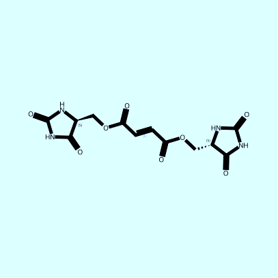 O=C1NC(=O)[C@H](COC(=O)/C=C/C(=O)OC[C@@H]2NC(=O)NC2=O)N1